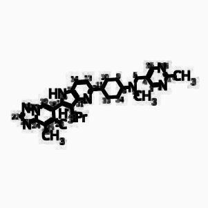 Cc1ncc(CN(C)C2CCC(c3ccc4[nH]c(-c5cn6ncnc6c(C)c5C)c(C(C)C)c4n3)CC2)cn1